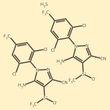 N#Cc1nn(-c2c(Cl)cc(C(F)(F)F)cc2Cl)c(N)c1[S+]([O-])C(F)(F)F.N#Cc1nn(-c2c(Cl)cc(C(F)(F)F)cc2Cl)c(N)c1[S+]([O-])C(F)(F)F.S